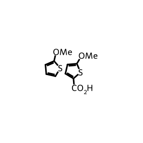 COc1ccc(C(=O)O)s1.COc1cccs1